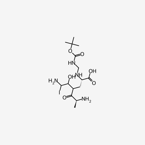 C[C@H](N)C(=O)C(C[C@H](NCNC(=O)OC(C)(C)C)C(=O)O)C(O)C(N)I